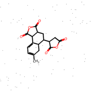 CC1=CC=C2C(C1)C(C1CC(=O)OC1=O)CC1C(=O)OC(=O)C21